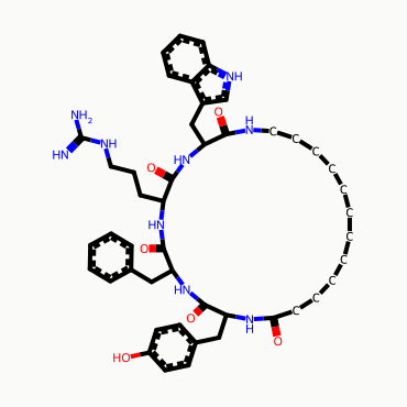 N=C(N)NCCCC1NC(=O)C(Cc2ccccc2)NC(=O)C(Cc2ccc(O)cc2)NC(=O)CCCCCCCCCCCNC(=O)C(Cc2c[nH]c3ccccc23)NC1=O